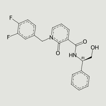 O=C(N[C@@H](CO)c1ccccc1)c1cccn(Cc2ccc(F)c(F)c2)c1=O